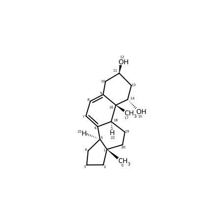 C[C@@]12CCC[C@H]1C1=CC=C3C[C@@H](O)C[C@H](O)[C@]3(C)[C@H]1CC2